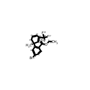 CCOC(=O)c1ccc(Br)cc1[C@@]1(C)C=C(C(F)(F)F)C=CC1